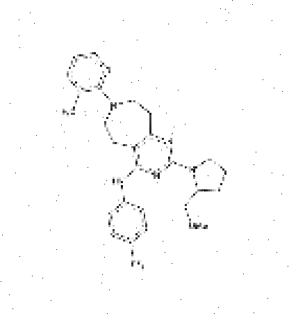 COCC1CCCN1c1nc2c(c(Nc3ccc(C(F)(F)F)cc3)n1)CCN(c1ncccc1C(F)(F)F)CC2